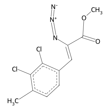 COC(=O)/C(=C/c1ccc(C)c(Cl)c1Cl)N=[N+]=[N-]